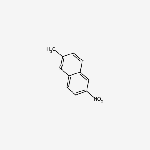 Cc1c[c]c2cc([N+](=O)[O-])ccc2n1